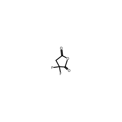 O=C1CC(F)(F)C(=O)O1